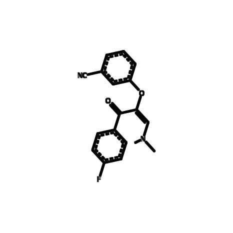 CN(C)/C=C(/Oc1cccc(C#N)c1)C(=O)c1ccc(F)cc1